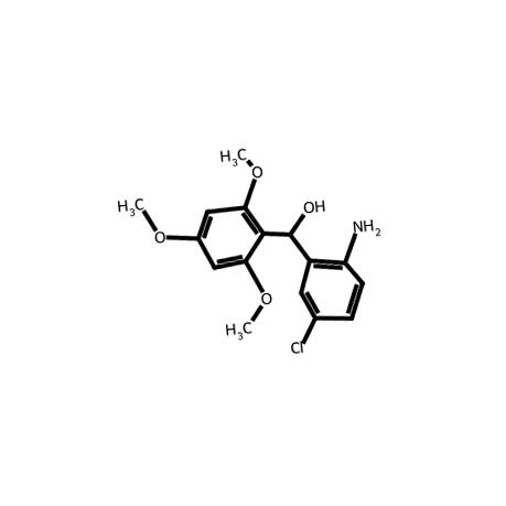 COc1cc(OC)c(C(O)c2cc(Cl)ccc2N)c(OC)c1